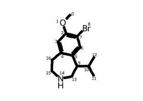 COc1cc2c(cc1Br)C(C(C)C)CNCC2